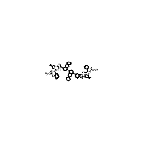 COC(=O)N[C@H](C(=O)N1CC2(CC2)C[C@H]1c1ncc(-c2ccc(-c3ccc(-c4ccc5nc([C@@H]6CC7(CC7)CN6C(=O)[C@@H](NC(=O)OC)c6ccccc6)[nH]c5c4)c4c3CC3(CCCC3)C4)c3c2CC2(CCCC2)C3)[nH]1)c1ccccc1